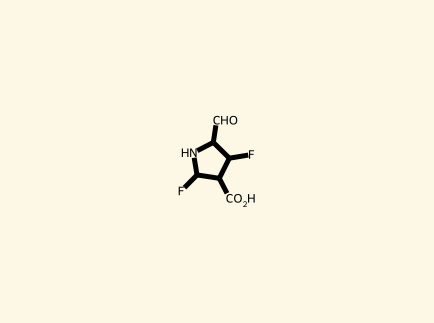 O=CC1NC(F)C(C(=O)O)C1F